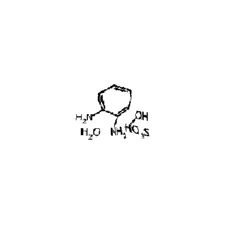 Nc1ccccc1N.O.O=S(=O)(O)O